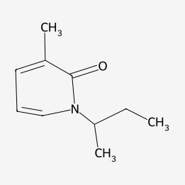 CCC(C)n1cccc(C)c1=O